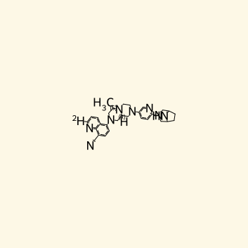 [2H]c1ccc2c(N3C[C@@H]4CN(c5ccc(N6CC7CCC(C6)N7)nc5)CCN4[C@@H](C)C3)ccc(C#N)c2n1